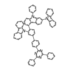 c1ccc(-c2nc(-c3ccccc3)nc(-c3ccc(-c4ccc(-c5cccc6c5c5ccc(-n7c8ccccc8c8ccccc87)cc5n6-c5ccccc5)c(-n5c6ccccc6c6ccccc65)c4)cc3)n2)cc1